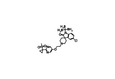 BC(B)(B)N1C(=O)C2(CCN(CCOc3cnc(C4(S(C)(=O)=O)CC4)nc3)CC2)c2cc(Cl)ccc21